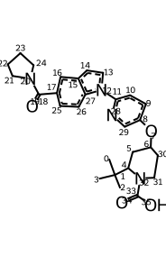 CC(C)(C)C1CC(Oc2ccc(-n3ccc4cc(C(=O)N5CCCC5)ccc43)nc2)CCN1C(=O)O